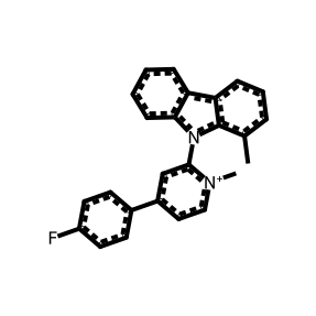 Cc1cccc2c3ccccc3n(-c3cc(-c4ccc(F)cc4)cc[n+]3C)c12